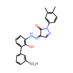 Cc1ccc(N2N=C/C(=N/Nc3cccc(-c4cccc(S(=O)(=O)O)c4)c3O)C2=O)cc1C